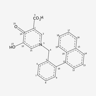 O=C(O)c1cn(Cc2ccccc2-c2cccc3ccccc23)cc(O)c1=O